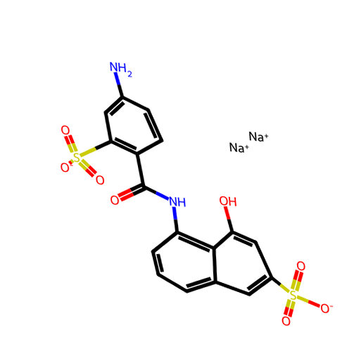 Nc1ccc(C(=O)Nc2cccc3cc(S(=O)(=O)[O-])cc(O)c23)c(S(=O)(=O)[O-])c1.[Na+].[Na+]